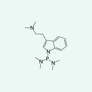 CN(C)CCc1cn(P(N(C)C)N(C)C)c2ccccc12